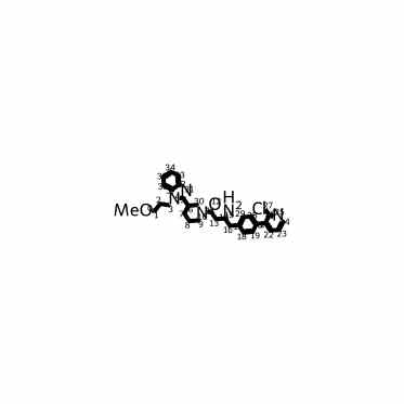 COCCCn1c(C2CCCN(C(=O)CC(N)Cc3ccc(-c4cccnc4Cl)cc3)C2)nc2ccccc21